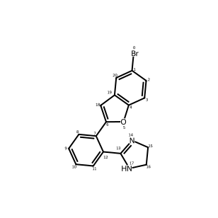 Brc1ccc2oc(-c3ccccc3C3=NCCN3)cc2c1